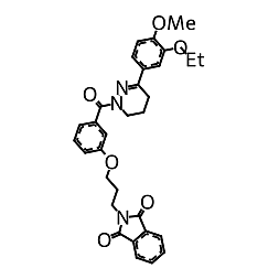 CCOc1cc(C2=NN(C(=O)c3cccc(OCCCN4C(=O)c5ccccc5C4=O)c3)CCC2)ccc1OC